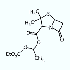 CCOC(=O)OC(C)OC(=O)C1N2C(=O)CC2SC1(C)C